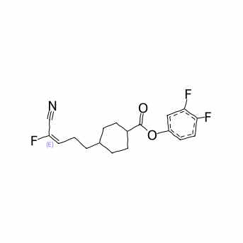 N#C/C(F)=C\CCC1CCC(C(=O)Oc2ccc(F)c(F)c2)CC1